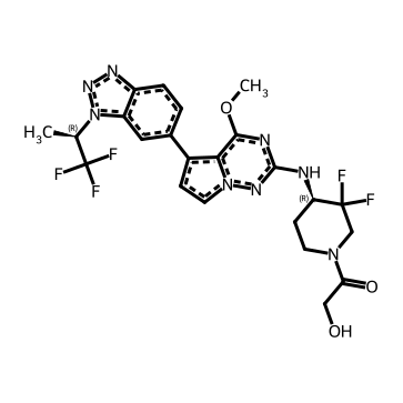 COc1nc(N[C@@H]2CCN(C(=O)CO)CC2(F)F)nn2ccc(-c3ccc4nnn([C@H](C)C(F)(F)F)c4c3)c12